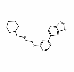 c1cc(OCCNCC2CCCCC2)cc(-c2ccc3nc[nH]c3c2)c1